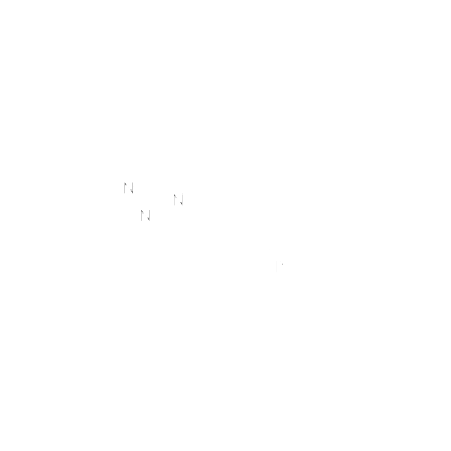 C1=CC(P(c2ccccc2)c2c3ccccc3c(-c3cccc(-c4nc5c(nc6ccccn65)c5ccccc45)c3)c3ccccc23)CCC1